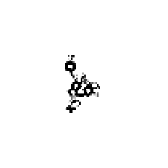 COc1ccc(COc2cc3c(cc2[N+](=O)[O-])C(Cc2cc(Br)c(OC)c(Br)c2)N(C(=O)OC(C)(C)C)CC3)cc1